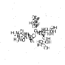 CCn1c(CNC(=O)c2nc(Cl)c(N)nc2N)[n+](CC)c2ccc(C(=O)N3CC[C@@H](N(CC(O)C(O)C(O)C(O)CO)CC(O)C(O)C(O)C(O)CO)C3)cc21.O=C(O)C(F)(F)F.O=C([O-])C(F)(F)F